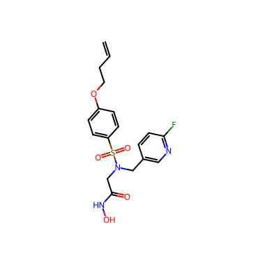 C=CCCOc1ccc(S(=O)(=O)N(CC(=O)NO)Cc2ccc(F)nc2)cc1